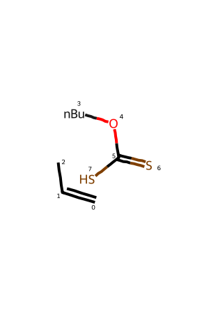 C=CC.CCCCOC(=S)S